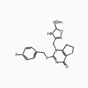 CCCCCCCCCCC1NC(Cn2c(SCc3ccc(F)cc3)nc(=O)c3c2CCC3)=NO1